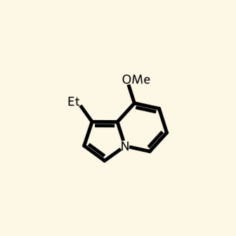 [CH2]Cc1ccn2cccc(OC)c12